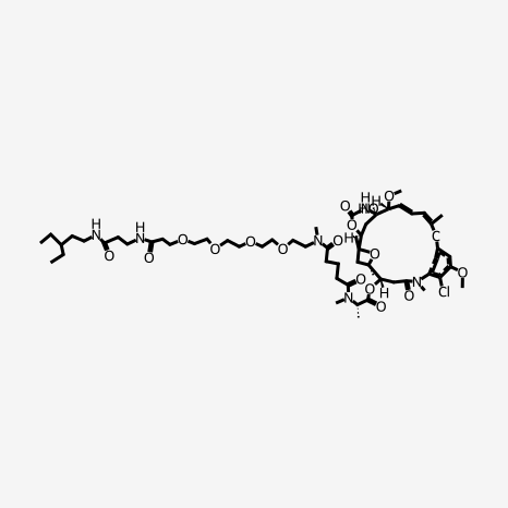 CCC(CC)CCNC(=O)CCNC(=O)CCOCCOCCOCCOCCN(C)C(=O)CCCC(=O)N(C)[C@@H](C)C(=O)O[C@H]1CC(=O)N(C)c2cc(cc(OC)c2Cl)C/C(C)=C\C=C\[C@@H](OC)[C@@]2(O)C[C@H](OC(=O)N2)C2(C)C[C@@]1(C)O2